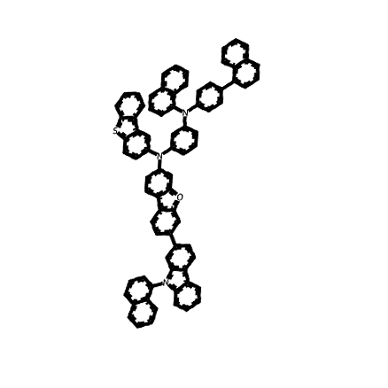 c1cc(N(c2ccc3c(c2)oc2cc(-c4ccc5c6ccccc6n(-c6cccc7ccccc67)c5c4)ccc23)c2ccc3sc4ccccc4c3c2)cc(N(c2ccc(-c3cccc4ccccc34)cc2)c2cccc3ccccc23)c1